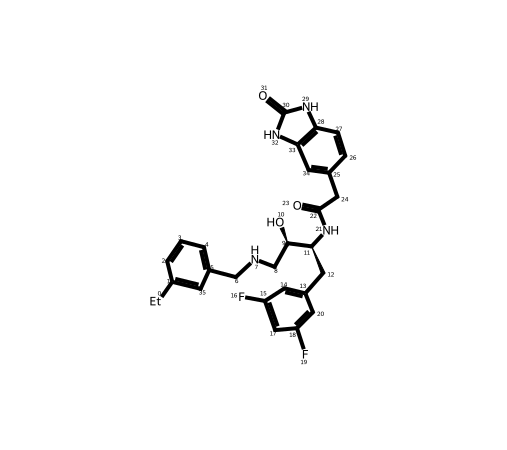 CCc1cccc(CNC[C@@H](O)[C@H](Cc2cc(F)cc(F)c2)NC(=O)Cc2ccc3[nH]c(=O)[nH]c3c2)c1